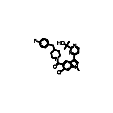 Cn1cc(-c2ccnc(C(C)(C)O)n2)c2cc(C(=O)N3CCC(Cc4ccc(F)cc4)CC3)c(Cl)cc21